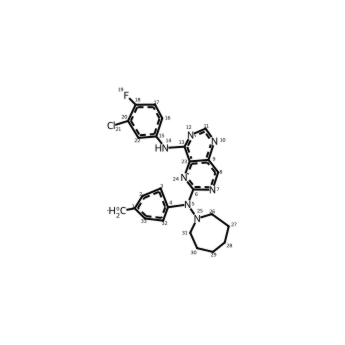 [CH2]c1ccc(N(c2ncc3ncnc(Nc4ccc(F)c(Cl)c4)c3n2)N2CCCCCC2)cc1